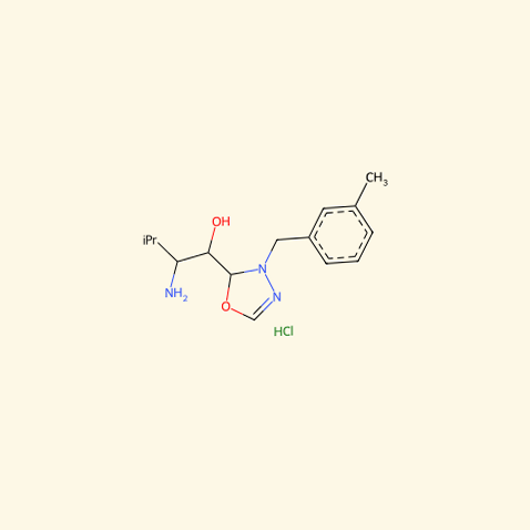 Cc1cccc(CN2N=COC2C(O)C(N)C(C)C)c1.Cl